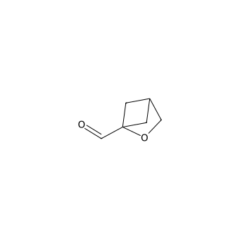 O=CC12CC(CO1)C2